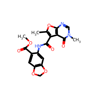 COC(=O)c1cc2c(cc1NC(=O)c1c(C)oc3ncn(C)c(=O)c13)OCO2